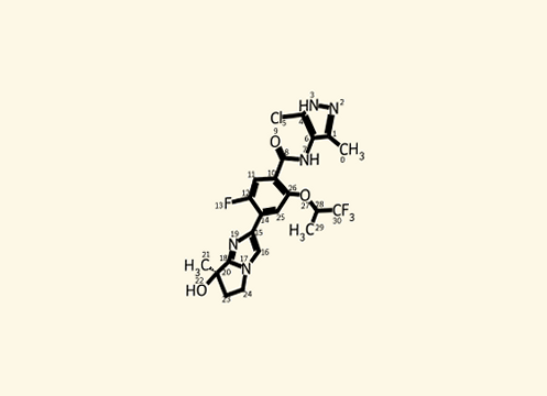 Cc1n[nH]c(Cl)c1NC(=O)c1cc(F)c(-c2cn3c(n2)[C@](C)(O)CC3)cc1OC(C)C(F)(F)F